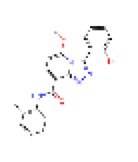 COc1ccccc1-c1nnc2c(C(=O)NC3=C(C)C=CCC3)ccc(OC)n12